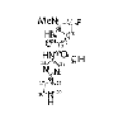 CNc1cc(F)cc2cc(C(=O)Nc3cnc(N4CCNCC4)nc3)c(=O)[nH]c12.Cl